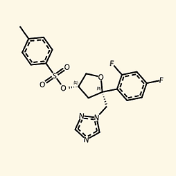 Cc1ccc(S(=O)(=O)O[C@@H]2CO[C@@](Cn3cncn3)(c3ccc(F)cc3F)C2)cc1